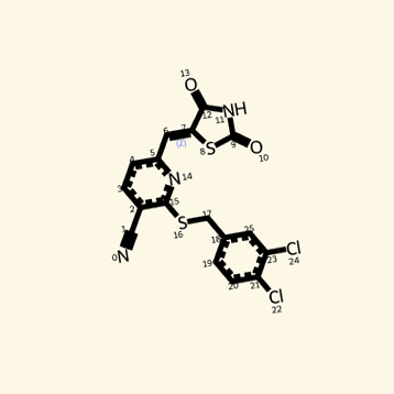 N#Cc1ccc(/C=C2\SC(=O)NC2=O)nc1SCc1ccc(Cl)c(Cl)c1